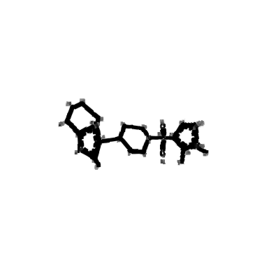 Cc1nc2n(c1C1CCN(S(=O)(=O)c3cnn(C)c3C)CC1)CCCC2